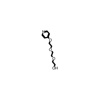 OCCOCCOCCOc1ccncc1